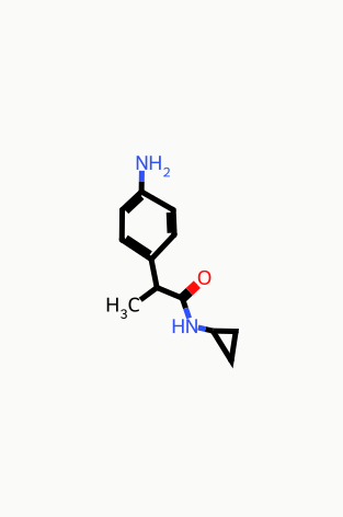 CC(C(=O)NC1CC1)c1ccc(N)cc1